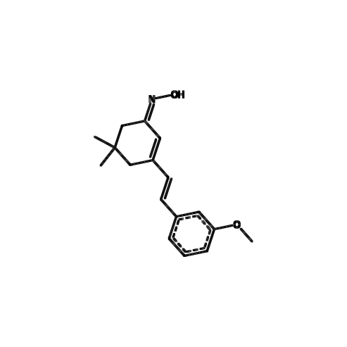 COc1cccc(C=CC2=CC(=NO)CC(C)(C)C2)c1